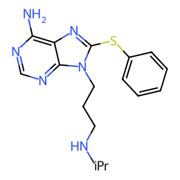 CC(C)NCCCn1c(Sc2ccccc2)nc2c(N)ncnc21